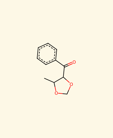 CC1OCOC1C(=O)c1ccccc1